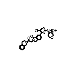 O=C(CN1Cc2ccc(-c3nc(N[C@H]4CCOC[C@H]4O)ncc3Cl)cc2C1=O)N1CCc2ccccc2C1